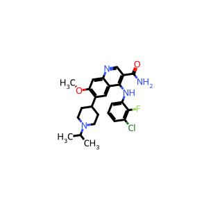 COc1cc2ncc(C(N)=O)c(Nc3cccc(Cl)c3F)c2cc1C1CCN(C(C)C)CC1